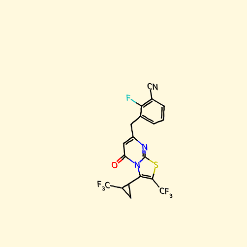 N#Cc1cccc(Cc2cc(=O)n3c(C4CC4C(F)(F)F)c(C(F)(F)F)sc3n2)c1F